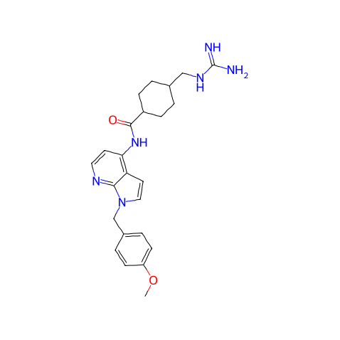 COc1ccc(Cn2ccc3c(NC(=O)C4CCC(CNC(=N)N)CC4)ccnc32)cc1